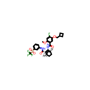 COc1cc(F)c(OCC2CCC2)cc1C(=O)N[C@@H]1[C@@H]2CC[C@@H](C2)[C@@H]1C(=O)Nc1cccc(S(=O)(=O)C(F)(F)F)c1